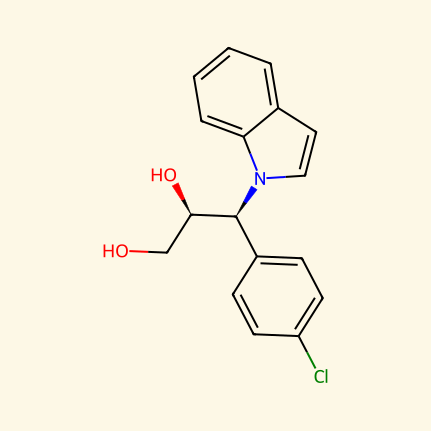 OC[C@@H](O)[C@H](c1ccc(Cl)cc1)n1ccc2ccccc21